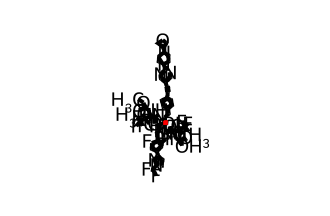 COC(=O)NC(C(=O)NC(Cc1ccc(C#Cc2cnc(N3CCN(C4COC4)CC3)nc2)cc1)C(O)CN(Cc1c(F)cc(-c2ccn(C(F)F)n2)cc1F)NC(=O)C(NC(=O)O)C(C)(C)C(F)(F)F)C(C)(C)C(F)(F)F